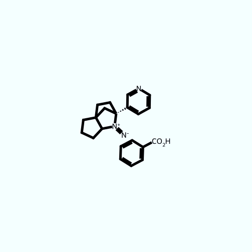 O=C(O)c1ccccc1.[N-]=[N+]1C2CCCC23CC[C@]1(c1cccnc1)C3